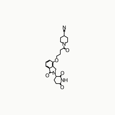 N#CC1CCN(C(=O)CCCOc2cccc3c2CN(C2CCC(=O)NC2=O)C3=O)CC1